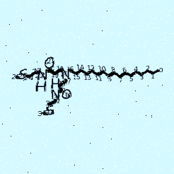 CCCCCCCCCCCCCCCCCN(CCC(=O)NCCSC)CCC(=O)NCCSC